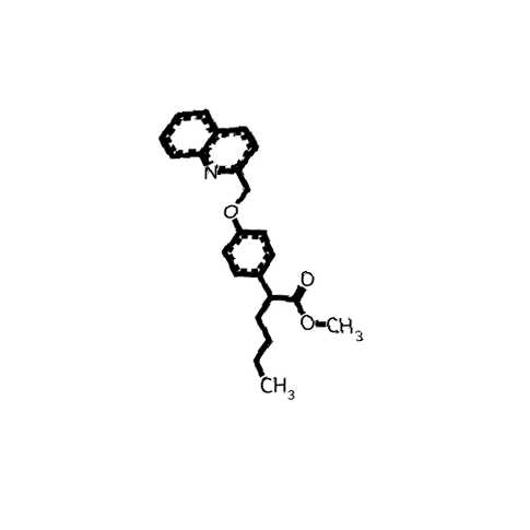 CCCCC(C(=O)OC)c1ccc(OCc2ccc3ccccc3n2)cc1